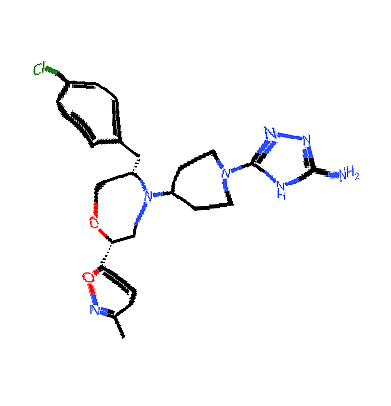 Cc1cc([C@H]2CN(C3CCN(c4nnc(N)[nH]4)CC3)[C@@H](Cc3ccc(Cl)cc3)CO2)on1